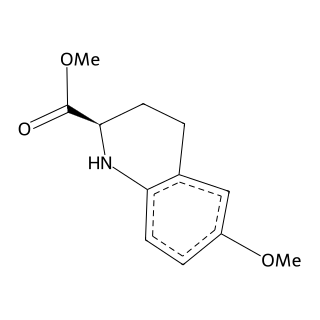 COC(=O)[C@H]1CCc2cc(OC)ccc2N1